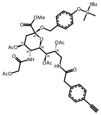 C#Cc1ccc(CC(=O)NC[C@@H](OC(C)=O)[C@@H](OC(C)=O)[C@@H]2O[C@@](OCc3ccc(O[Si](C)(C)C(C)(C)C)cc3)(C(=O)OC)C[C@H](OC(C)=O)[C@H]2NC(=O)COC(C)=O)cc1